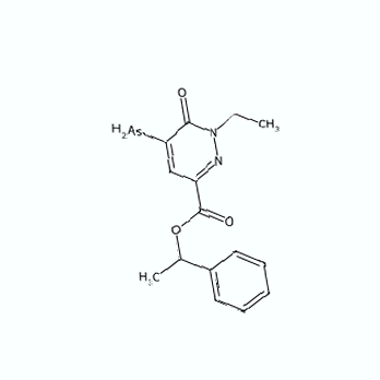 CCn1nc(C(=O)OC(C)c2ccccc2)cc([AsH2])c1=O